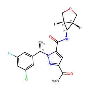 CNC(=O)c1cc(C(=O)N[C@H]2[C@@H]3COC[C@@H]32)n([C@H](C)c2cc(F)cc(Cl)c2)n1